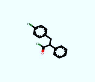 O=C(Cl)C(Cc1ccc(Cl)cc1)c1ccccc1